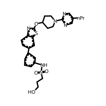 CCCc1cnc(N2CCC(Oc3nc4ccc(-c5cccc(NS(=O)(=O)CCCO)c5)cc4s3)CC2)nc1